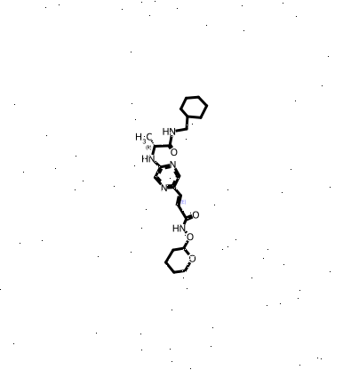 C[C@@H](Nc1cnc(/C=C/C(=O)NOC2CCCCO2)cn1)C(=O)NCC1CCCCC1